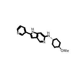 CO[C@H]1CC[C@H](Nc2cc3[nH]c(-c4cccnc4)cc3cn2)CC1